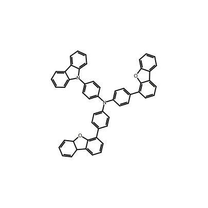 C1=CC2Oc3c(-c4ccc(N(c5ccc(-c6cccc7c6oc6ccccc67)cc5)c5ccc(-n6c7ccccc7c7ccccc76)cc5)cc4)cccc3C2C=C1